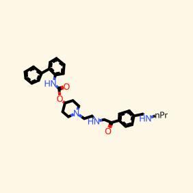 CCCNCc1ccc(C(=O)CNCCN2CCC(OC(=O)Nc3ccccc3-c3ccccc3)CC2)cc1